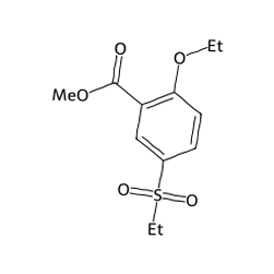 CCOc1ccc(S(=O)(=O)CC)cc1C(=O)OC